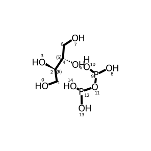 OC[C@@H](O)[C@@H](O)CO.OP(O)OP(O)O